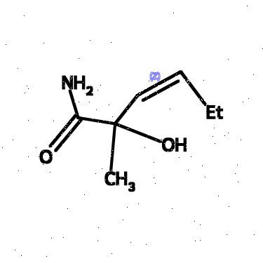 CC/C=C\C(C)(O)C(N)=O